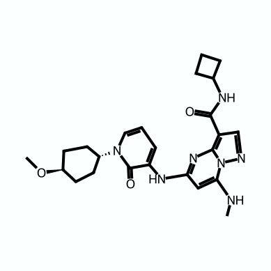 CNc1cc(Nc2cccn([C@H]3CC[C@H](OC)CC3)c2=O)nc2c(C(=O)NC3CCC3)cnn12